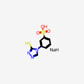 O=S(=O)(O)c1cccc(-n2cnnc2S)c1.[NaH]